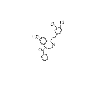 Cl.O=C(c1ccccc1)N1CCN=C(C=Cc2ccc(Cl)c(Cl)c2)c2ccccc21